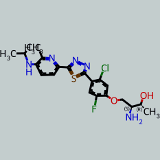 Cc1nc(-c2nnc(-c3cc(F)c(OC[C@H](N)[C@@H](C)O)cc3Cl)s2)ccc1NC(C)C